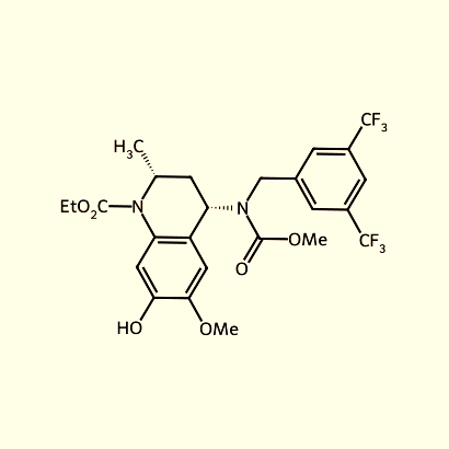 CCOC(=O)N1c2cc(O)c(OC)cc2[C@@H](N(Cc2cc(C(F)(F)F)cc(C(F)(F)F)c2)C(=O)OC)C[C@H]1C